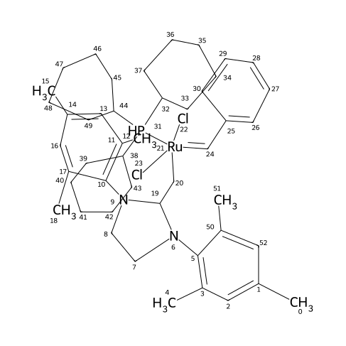 Cc1cc(C)c(N2CCN(c3c(C)cc(C)cc3C)C2[CH2][Ru]([Cl])([Cl])(=[CH]c2ccccc2)[PH](C2CCCCC2)(C2CCCCC2)C2CCCCC2)c(C)c1